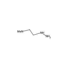 CNCCNN